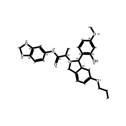 CCCOC1=CC=C2CN(C(C)C(=O)Oc3ccc4c(c3)OCO4)C(c3ccc(OC)cc3O)C2C1